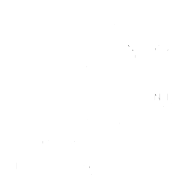 COC(=O)c1ccc([N+](=O)[O-])c(N)c1